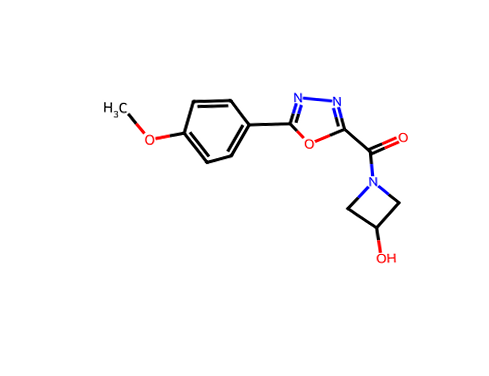 COc1ccc(-c2nnc(C(=O)N3CC(O)C3)o2)cc1